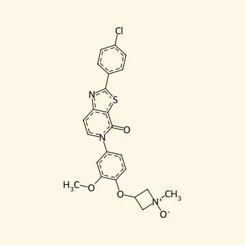 COc1cc(-n2ccc3nc(-c4ccc(Cl)cc4)sc3c2=O)ccc1OC1C[N+](C)([O-])C1